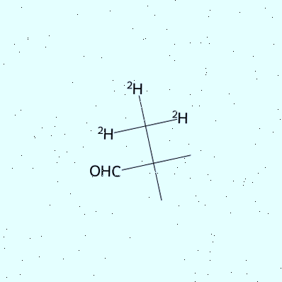 [2H]C([2H])([2H])C(C)(C)C=O